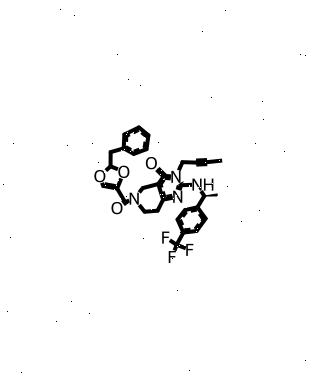 CC#CCn1c(N[C@@H](C)c2ccc(C(F)(F)F)cc2)nc2c(c1=O)CN(C(=O)C1=COC(Cc3ccccc3)O1)CC2